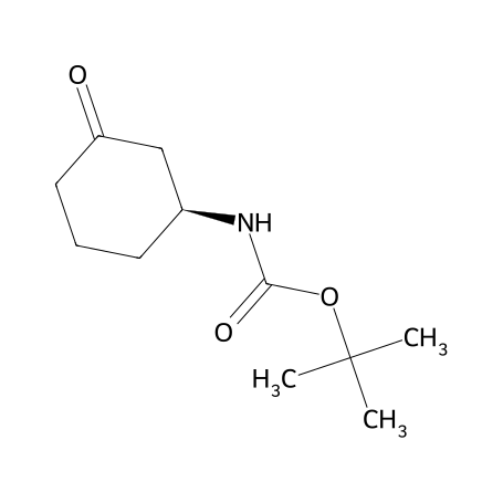 CC(C)(C)OC(=O)N[C@H]1CCCC(=O)C1